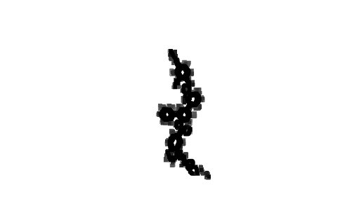 COCCn1cnc2ccc(C(=O)Oc3ccc(-c4cccc(OCc5ccc(C#N)cc5F)n4)cc3-c3ccccc3)cc21